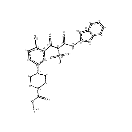 CC(C)(C)OC(=O)N1CCN(c2ccc(Cl)c(C(=O)N(C(=O)Nc3nc4ccccc4s3)S(C)(=O)=O)c2)CC1